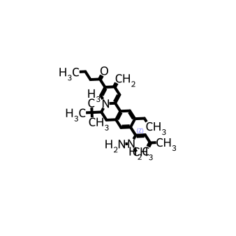 C=C(C)/C=C(/c1cc2c(cc1CC)C1=CC(=C)C(C(=O)CCC)=CN1C(C(C)(C)C)C2)N(C)N